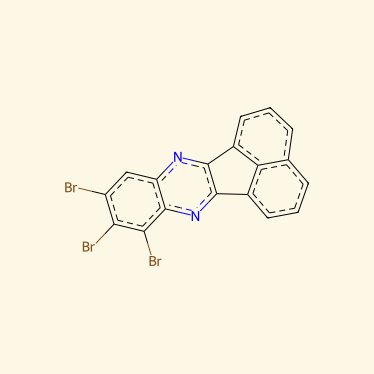 Brc1cc2nc3c(nc2c(Br)c1Br)-c1cccc2cccc-3c12